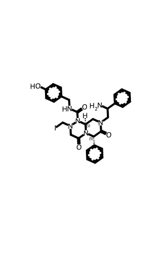 NC(CN1C[C@H]2N(C(=O)CN(CI)N2C(=O)NCc2ccc(O)cc2)[C@@H](c2ccccc2)C1=O)c1ccccc1